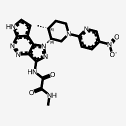 CNC(=O)C(=O)Nc1nn([C@H]2CN(c3ccc([N+](=O)[O-])cn3)CC[C@H]2C)c2c1nnc1[nH]ccc12